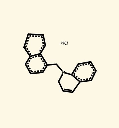 C1=Cc2ccccc2N(Cc2cccc3ccccc23)C1.Cl